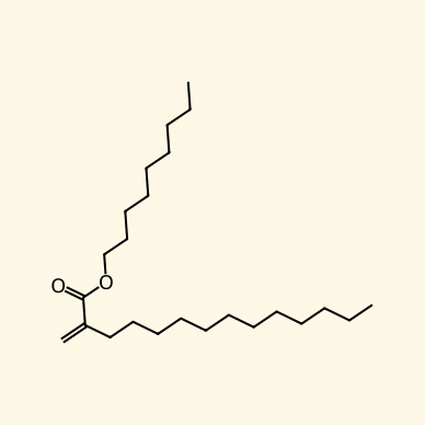 C=C(CCCCCCCCCCCC)C(=O)OCCCCCCCCC